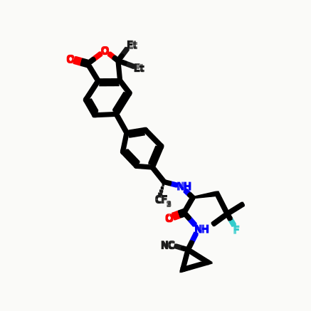 CCC1(CC)OC(=O)c2ccc(-c3ccc([C@H](N[C@@H](CC(C)(C)F)C(=O)NC4(C#N)CC4)C(F)(F)F)cc3)cc21